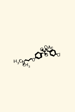 CC(=O)ON(c1ccc(Cl)cc1)S(=O)(=O)c1ccc(OCCCN(C)C)cc1